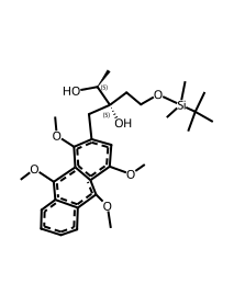 COc1cc(C[C@](O)(CCO[Si](C)(C)C(C)(C)C)[C@H](C)O)c(OC)c2c(OC)c3ccccc3c(OC)c12